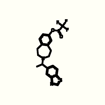 CC(c1ccc2scnc2c1)N1CCc2ccc(OS(=O)C(F)(F)F)cc2CC1